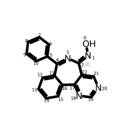 O/N=c1\nc(-c2ccccc2)c2ccccc2c2ncncc12